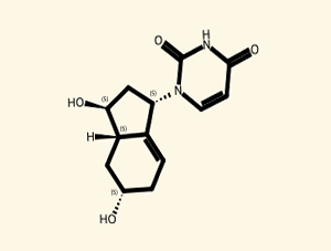 O=c1ccn([C@H]2C[C@H](O)[C@H]3C[C@@H](O)CC=C32)c(=O)[nH]1